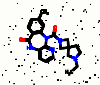 CCN1CCC2(C1)CN(C(=O)N1c3cc(C)ccc3C(=O)Nc3cccnc31)C2